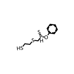 S=[PH](CSCCS)Oc1ccccc1